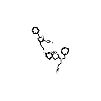 [C-]#[N+]CCN(Cc1ccccc1)[C@H](CO)Cc1ccc(OCCc2nc(-c3ccccc3)oc2C)cc1